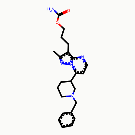 Cc1nn2c(C3CCCN(Cc4ccccc4)C3)ccnc2c1CCCOC(N)=O